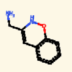 NCC1=Cc2ccccc2ON1